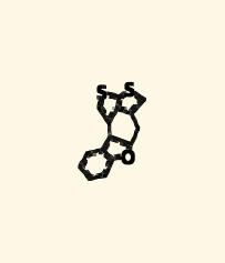 c1ccc2c3c(oc2c1)Cc1csc2scc-3c12